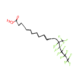 O=C(O)CCCCCCCCCCC(F)(C(F)(F)F)C(F)(F)C(F)(F)C(F)(F)C(F)(F)F